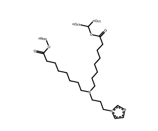 CCCCCCCCCOC(=O)CCCCCCCN(CCCCCCCC(=O)OC(CCCCCCCC)CCCCCCCC)CCCn1ccnc1